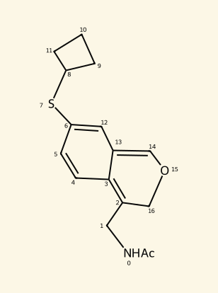 CC(=O)NCC1=c2ccc(SC3CCC3)cc2=COC1